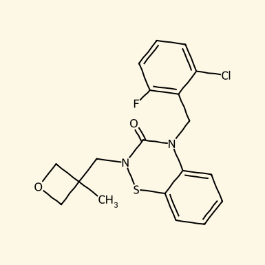 CC1(CN2Sc3ccccc3N(Cc3c(F)cccc3Cl)C2=O)COC1